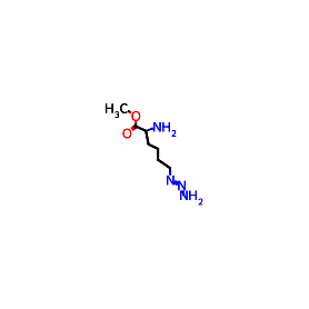 COC(=O)[C@@H](N)CCCCN=NN